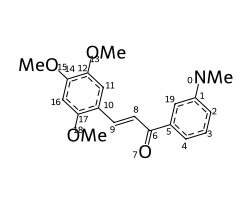 CNc1cccc(C(=O)C=Cc2cc(OC)c(OC)cc2OC)c1